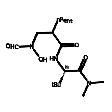 CCCCCC(CN(O)C=O)C(=O)N[C@H](C(=O)N(C)C)C(C)(C)C